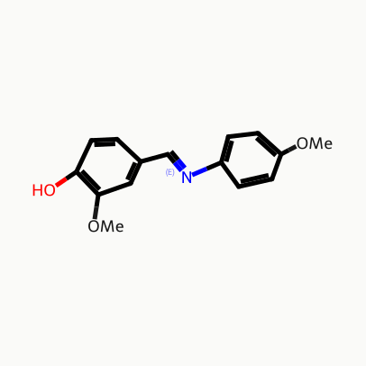 COc1ccc(/N=C/c2ccc(O)c(OC)c2)cc1